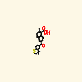 Cc1ccc2cc(C(=O)c3ccc4c(c3)C(C)(C)CCS4)ccc2c1C(=O)O